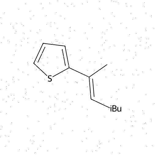 CCC(C)/C=C(\C)c1cccs1